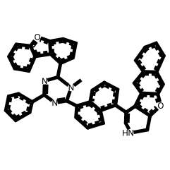 CN1C(c2cccc3c(C4=CNCc5oc6cc7ccccc7cc6c54)cccc23)=NC(c2ccccc2)=NC1c1cccc2oc3ccccc3c12